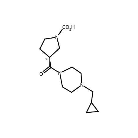 O=C(O)N1CC[C@H](C(=O)N2CCN(CC3CC3)CC2)C1